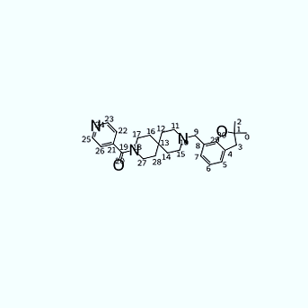 CC1(C)Cc2cccc(CN3CCC4(CC3)CCN(C(=O)c3ccncc3)CC4)c2O1